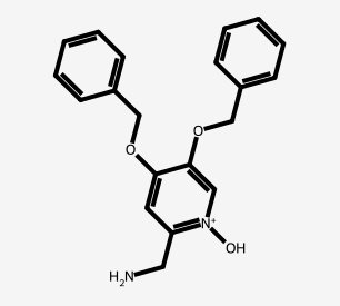 NCc1cc(OCc2ccccc2)c(OCc2ccccc2)c[n+]1O